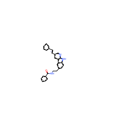 O=C(NCCc1ccc2[nH]c3ncc(/C=C/c4ccccc4)cc3c2c1)c1ccccc1